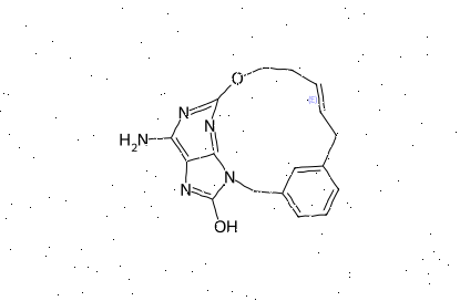 Nc1nc2nc3c1nc(O)n3Cc1cccc(c1)C/C=C/CCO2